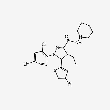 CCC1C(C(=O)NN2CCCCC2)=NN(c2ccc(Cl)cc2Cl)C1c1cc(Br)cs1